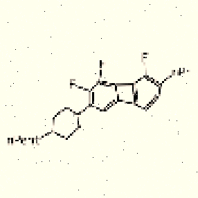 CCCCCC1CCC(c2cc3c(c(F)c2F)-c2c-3ccc(CCC)c2F)CC1